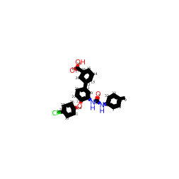 Cc1ccc(NC(=O)Nc2cc(-c3cccc(C(=O)O)c3)ccc2Oc2ccc(Cl)cc2)cc1